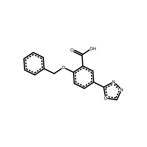 O=C(O)c1cc(-c2nnco2)ccc1OCc1ccccc1